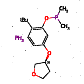 CP(C)Oc1cc(O[C@H]2CCOC2)ccc1C(C)(C)C.P